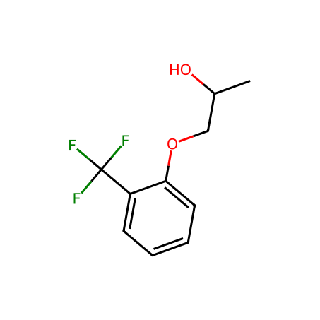 CC(O)COc1ccccc1C(F)(F)F